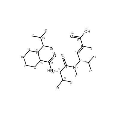 C/C(=C\[C@H](C(C)C)N(C)C(=O)[C@@H](NC(=O)C1CCCCN1C(C)C(C)C)C(C)C)C(=O)O